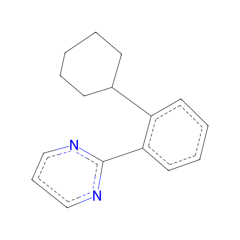 c1cnc(-c2ccccc2C2CCCCC2)nc1